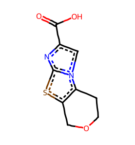 O=C(O)c1cn2c3c(sc2n1)COCC3